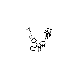 CN(C)CCCOc1ccc(-c2c(-c3ccccc3)[nH]c3ncc(C#N)cc23)cc1.O=C(O)C(F)(F)F